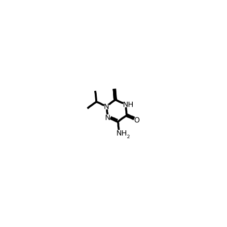 C=C1NC(=O)C(N)=NN1C(C)C